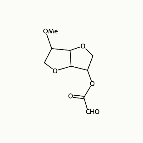 COC1COC2C(OC(=O)C=O)COC12